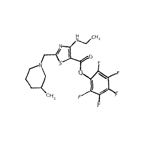 CCNc1nc(CN2CCCC(C)C2)sc1C(=O)Oc1c(F)c(F)c(F)c(F)c1F